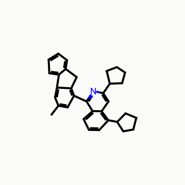 Cc1cc2c(c(-c3nc(C4CCCC4)cc4c(C5CCCC5)cccc34)c1)Cc1ccccc1-2